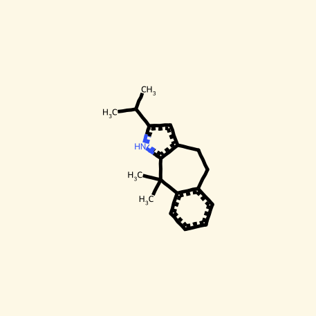 CC(C)c1cc2c([nH]1)C(C)(C)c1ccccc1CC2